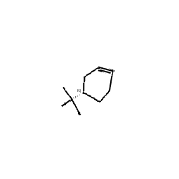 CC(C)(C)[C@@H]1CC=[C]CC1